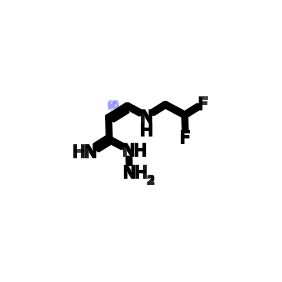 N=C(/C=C\NCC(F)F)NN